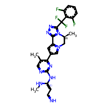 CN/C(=C\C=N)Nc1ncc(C)c(-c2cc3n(c2)C[C@H](C)n2c-3nnc2C(F)(F)c2c(F)cccc2F)n1